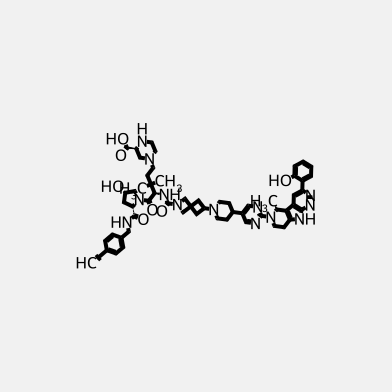 C#Cc1ccc(CNC(=O)[C@@H]2C[C@@H](O)CN2C(=O)[C@H](NC(=O)N2CC3(CC(N4CCC(c5cnc(N6CCc7[nH]c8nnc(-c9ccccc9O)cc8c7[C@H]6C)nc5)CC4)C3)C2)C(C)(C)CCN2CCN[C@H](C(=O)O)C2)cc1